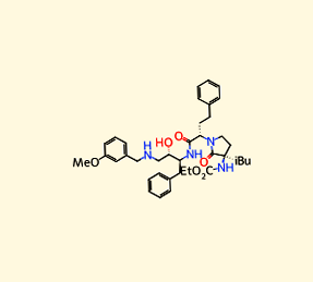 CCOC(=O)N[C@]1([C@@H](C)CC)CCN([C@@H](CCc2ccccc2)C(=O)N[C@@H](Cc2ccccc2)[C@@H](O)CNCc2cccc(OC)c2)C1=O